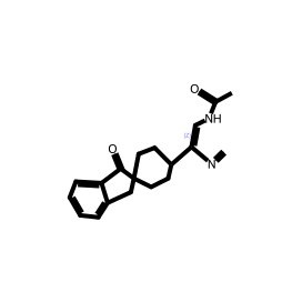 C=N/C(=C\NC(C)=O)C1CCC2(CC1)Cc1ccccc1C2=O